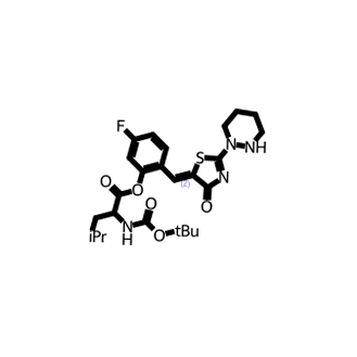 CC(C)CC(NC(=O)OC(C)(C)C)C(=O)Oc1cc(F)ccc1/C=C1\SC(N2CCCCN2)=NC1=O